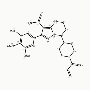 C=CC(=O)N1CCC(C2CCNc3c(C(N)=O)c(-c4cc(OC)c(OC)c(OC)c4)nn32)CC1